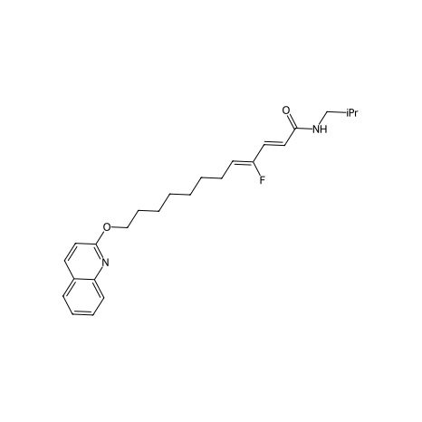 CC(C)CNC(=O)C=CC(F)=CCCCCCCCOc1ccc2ccccc2n1